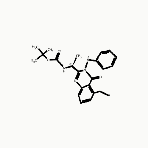 C[C@H](NC(=O)OC(C)(C)C)c1nc2cccc(CI)c2c(=O)n1Nc1ccccc1